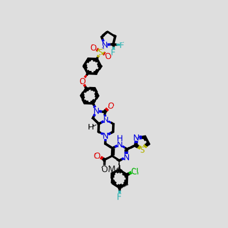 COC(=O)C1=C(CN2CCN3C(=O)N(c4ccc(Oc5ccc(S(=O)(=O)N6CCCC6(F)F)cc5)cc4)C[C@@H]3C2)NC(c2nccs2)=N[C@H]1c1ccc(F)cc1Cl